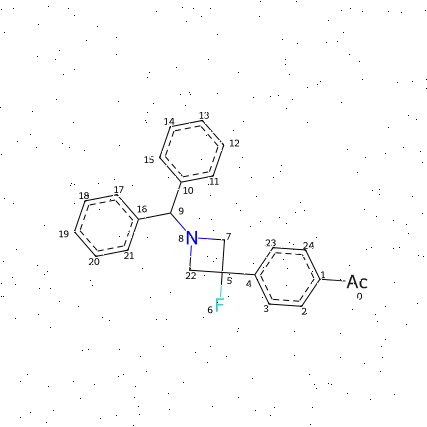 CC(=O)c1ccc(C2(F)CN(C(c3ccccc3)c3ccccc3)C2)cc1